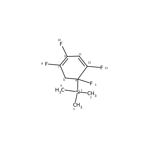 C[Si](C)(C)C1(F)[CH]C(F)=C(F)C=C1F